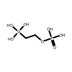 O=P(O)(O)OCC[Si](O)(O)O